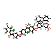 COc1ccc(C2(c3ccc(Oc4c(F)c(F)c(C(=O)c5ccc(Oc6ccc(C(=O)c7c(F)c(F)c(C)c(F)c7F)cc6)cc5)c(F)c4F)cc3)c3ccccc3-c3ccccc32)cc1